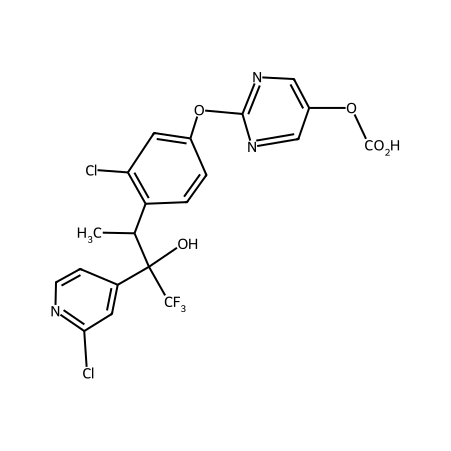 CC(c1ccc(Oc2ncc(OC(=O)O)cn2)cc1Cl)C(O)(c1ccnc(Cl)c1)C(F)(F)F